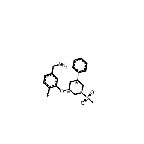 CS(=O)(=O)N1C[C@@H](Oc2cc(CN)ccc2F)C[C@H](c2ccccc2)C1